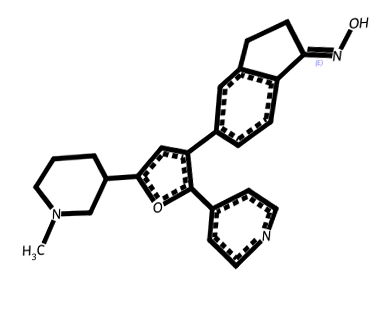 CN1CCCC(c2cc(-c3ccc4c(c3)CC/C4=N\O)c(-c3ccncc3)o2)C1